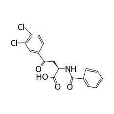 O=C(C[C@@H](NC(=O)c1ccccc1)C(=O)O)c1ccc(Cl)c(Cl)c1